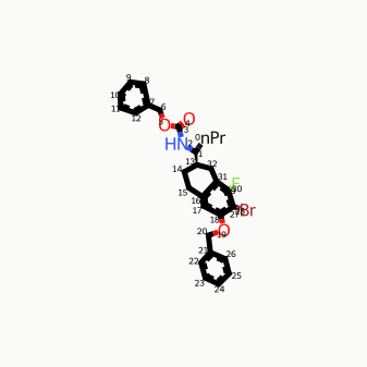 CCCC(NC(=O)OCc1ccccc1)[C@@H]1CCc2cc(OCc3ccccc3)c(Br)c(F)c2C1